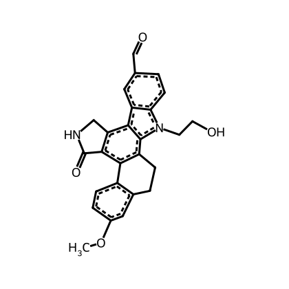 COc1ccc2c(c1)CCc1c-2c2c(c3c4cc(C=O)ccc4n(CCO)c13)CNC2=O